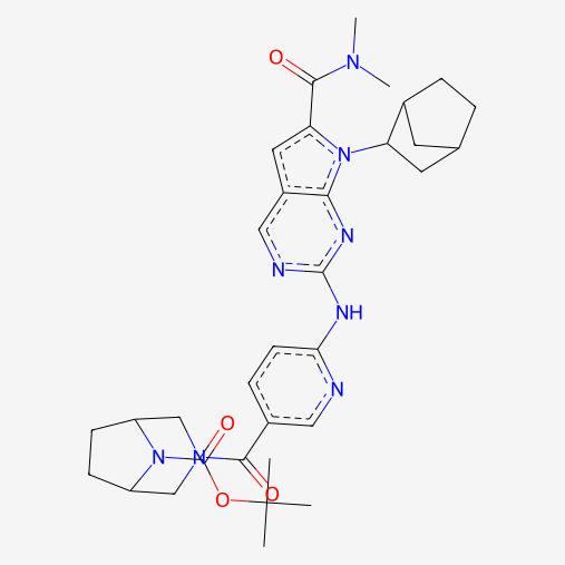 CN(C)C(=O)c1cc2cnc(Nc3ccc(C(=O)N4CC5CCC(C4)N5C(=O)OC(C)(C)C)cn3)nc2n1C1CC2CCC1C2